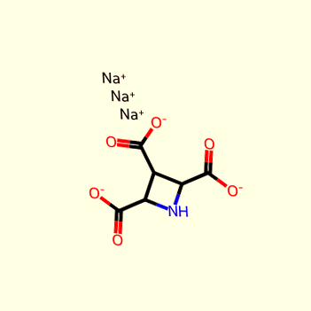 O=C([O-])C1NC(C(=O)[O-])C1C(=O)[O-].[Na+].[Na+].[Na+]